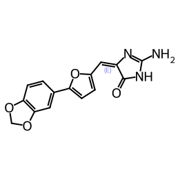 NC1=N/C(=C/c2ccc(-c3ccc4c(c3)OCO4)o2)C(=O)N1